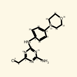 Nc1nc(CCl)nc(Nc2ccc(N3CCOCC3)cc2)n1